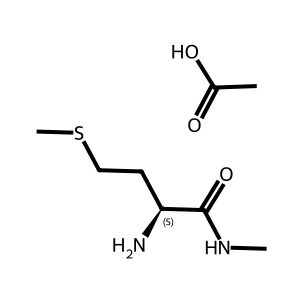 CC(=O)O.CNC(=O)[C@@H](N)CCSC